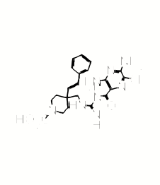 N=C(NCC1(C=Cc2ccccc2)CCN(C(=O)O)CC1)NC(=O)c1nc(Cl)c(N)nc1N